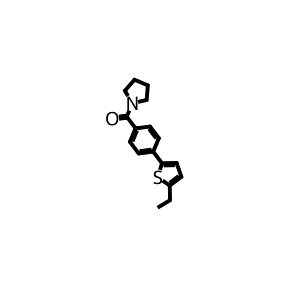 CCc1ccc(-c2ccc(C(=O)N3CCCC3)cc2)s1